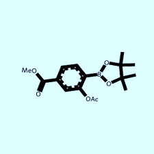 COC(=O)c1ccc(B2OC(C)(C)C(C)(C)O2)c(OC(C)=O)c1